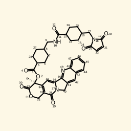 C[C@@]1(OC(=O)C2CCC(CNC(=O)C3CCC(CN4C(=O)C=CC4=O)CC3)CC2)C(=O)OCc2c1cc1n(c2=O)Cc2cc3ccccc3nc2-1